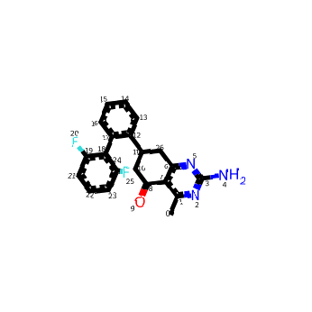 Cc1nc(N)nc2c1C(=O)CC(c1ccccc1-c1c(F)cccc1F)C2